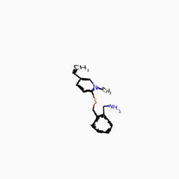 C=CC1=CN(C)C(SCc2ccccc2CN)C=C1